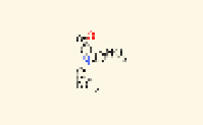 O=[As]c1ccc(N(Cc2ccc([N+](=O)[O-])cc2)Cc2ccc([N+](=O)[O-])cc2)cc1